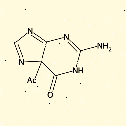 CC(=O)C12N=CN=C1N=C(N)NC2=O